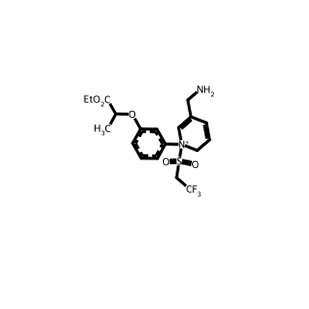 CCOC(=O)C(C)Oc1cccc([N+]2(S(=O)(=O)CC(F)(F)F)C=C(CN)C=CC2)c1